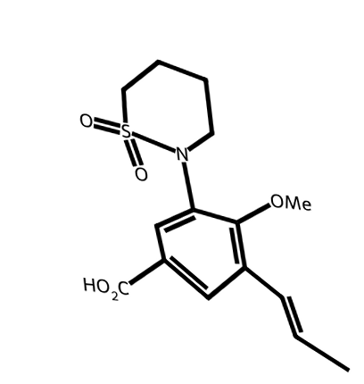 CC=Cc1cc(C(=O)O)cc(N2CCCCS2(=O)=O)c1OC